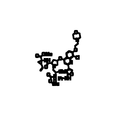 C=CC1CC1(NC(=O)C1CC(Oc2cc(-c3coc(NC(C)C)n3)nc3c(Cl)c(OCCN4CCOCC4)ccc23)CN1CC(NC(=O)OC(C)(C)C)C(C)(C)C)C(=O)OC